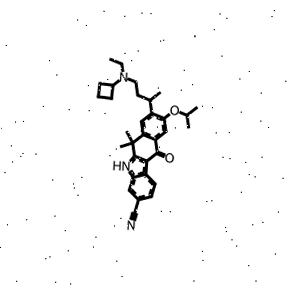 CCN(CCC(C)c1cc2c(cc1OC(C)C)C(=O)c1c([nH]c3cc(C#N)ccc13)C2(C)C)C1CCC1